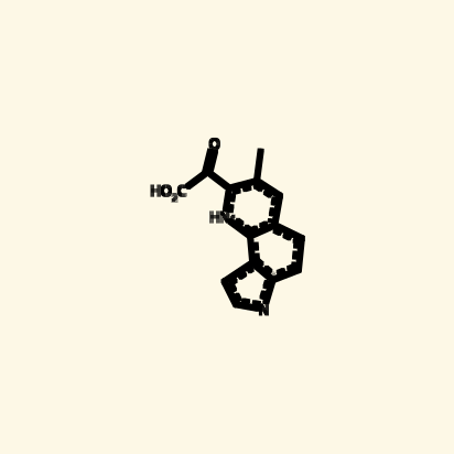 Cc1cc2ccc3nccc3c2[nH]c1C(=O)C(=O)O